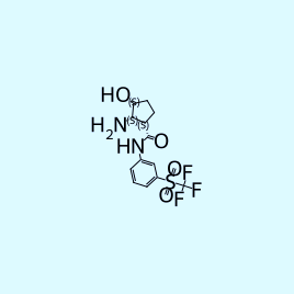 N[C@H]1[C@@H](C(=O)Nc2cccc(S(=O)(=O)C(F)(F)F)c2)CC[C@@H]1O